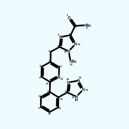 CCCCC(=O)c1nc(Cc2ccc(-c3ccccc3-c3nnn[nH]3)nc2)n(CCCC)n1